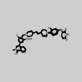 COc1cc(-c2cn(C)c(=O)c3ccccc23)cc(F)c1CN1CCC(CCC2CCN(c3ccc(NC4CCC(=O)NC4=O)cc3Cl)CC2)CC1